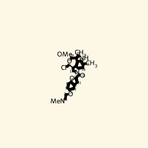 CNCCOc1ccc2oc(C(=O)N3C[C@@H](CCl)c4c3cc(C)c3[nH]c(C)c(C(=O)OC)c43)cc2c1